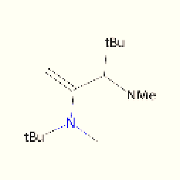 C=C(C(NC)C(C)(C)C)N(C)C(C)(C)C